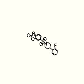 Cn1c(=O)oc2cc(S(=O)(=O)N3CCC(C4C=CCC=C4F)CC3)ccc21